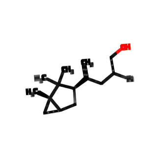 C=C(CC(CC)CO)[C@H]1CC2C[C@]2(C)C1(C)C